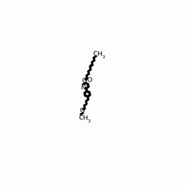 CCCCCC=CCCCCC(=O)Oc1ccc(-c2ccc(CCCCCOCCC)cc2)nc1